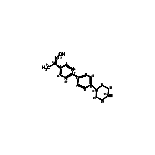 C/C(=N/O)c1cnc(-c2ccc(N3CCNCC3)cc2)nc1